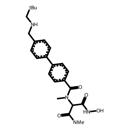 CNC(=O)C(C(=O)NO)N(C)C(=O)c1ccc(-c2ccc(CNCC(C)(C)C)cc2)cc1